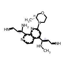 CN/C(=C\C=N)c1cc(N2CCOC[C@H]2C)nc2c(/C(N)=C/C=N)nccc12